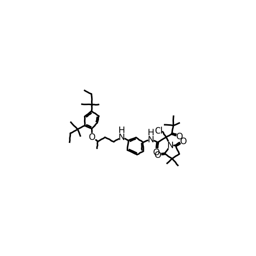 CCC(C)(C)c1ccc(OC(C)CCNc2cccc(NC(=O)C(Cl)(C(=O)C(C)(C)C)N3C(=O)CC(C)(C)C3=O)c2)c(C(C)(C)CC)c1